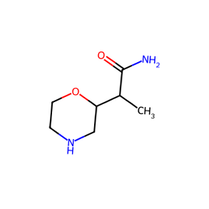 CC(C(N)=O)C1CNCCO1